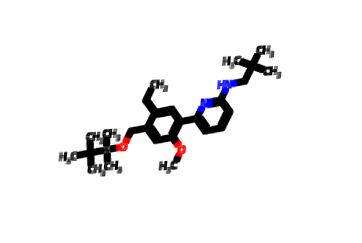 CCc1cc(-c2cccc(NCC(C)(C)C)n2)c(OC)cc1CO[Si](C)(C)C(C)(C)C